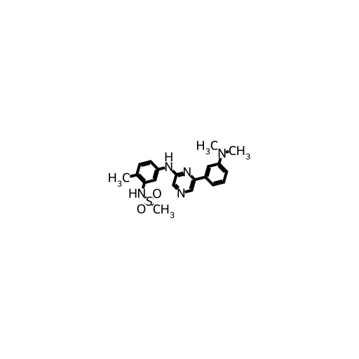 Cc1ccc(Nc2cncc(-c3cccc(N(C)C)c3)n2)cc1NS(C)(=O)=O